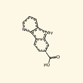 O=C(O)c1ccc2c(c1)[nH]c1cccnc12